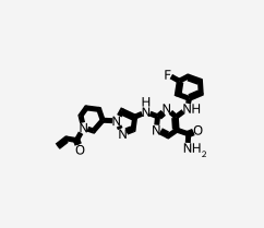 C=CC(=O)N1CCCC(n2cc(Nc3ncc(C(N)=O)c(Nc4cccc(F)c4)n3)cn2)C1